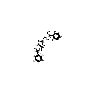 O=C(OC[C@H]1O[C@@H](OC(=O)c2ccccc2)CS1)c1ccccc1